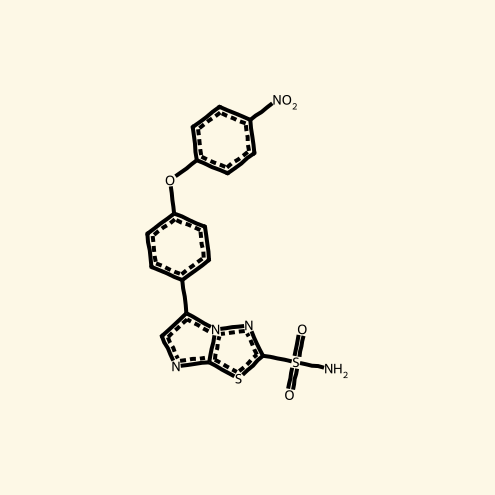 NS(=O)(=O)c1nn2c(-c3ccc(Oc4ccc([N+](=O)[O-])cc4)cc3)cnc2s1